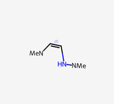 CN/C=C\NNC